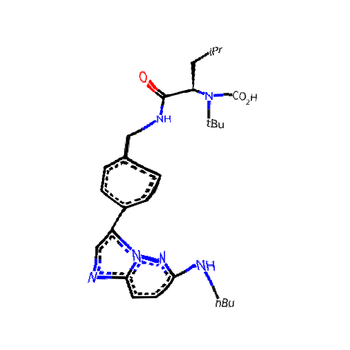 CCCCNc1ccc2ncc(-c3ccc(CNC(=O)[C@@H](CC(C)C)N(C(=O)O)C(C)(C)C)cc3)n2n1